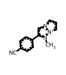 Cn1c(-c2ccc(C#N)cc2)cn2ccc[n+]12